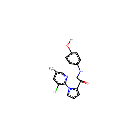 O=C(CNc1ccc(OC(F)(F)F)cc1)c1cccn1-c1ncc(C(F)(F)F)cc1Cl